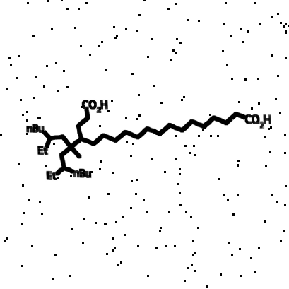 CCCCC(CC)CC(C)(CC(CC)CCCC)C(CCCCCCCCCCCCCCC(=O)O)CCC(=O)O